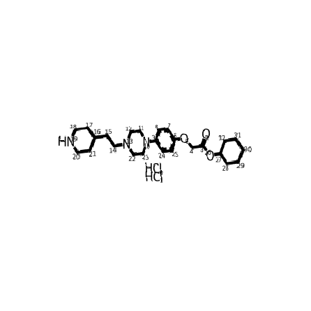 Cl.Cl.O=C(COc1ccc(N2CCN(CCC3CCNCC3)CC2)cc1)OC1CCCCC1